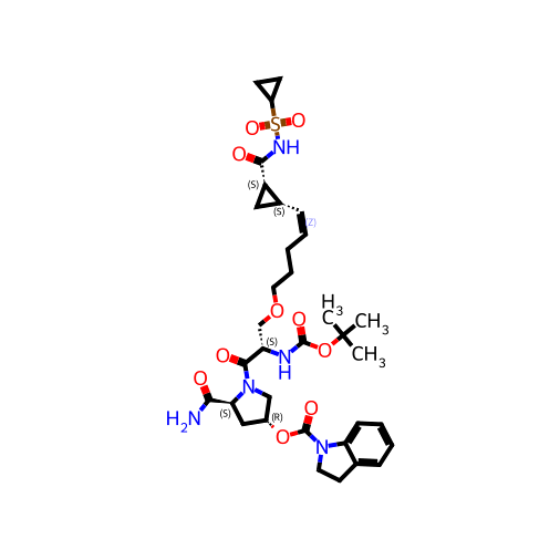 CC(C)(C)OC(=O)N[C@@H](COCCC/C=C\[C@@H]1C[C@@H]1C(=O)NS(=O)(=O)C1CC1)C(=O)N1C[C@H](OC(=O)N2CCc3ccccc32)C[C@H]1C(N)=O